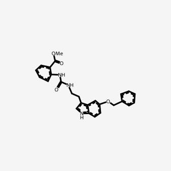 COC(=O)c1ccccc1NC(=O)NCCc1c[nH]c2ccc(OCc3ccccc3)cc12